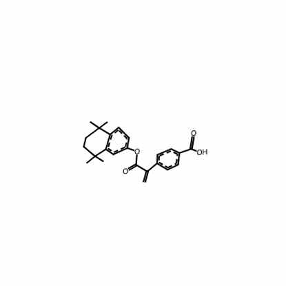 C=C(C(=O)Oc1ccc2c(c1)C(C)(C)CCC2(C)C)c1ccc(C(=O)O)cc1